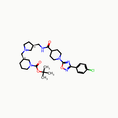 CC(C)(C)OC(=O)N1CCC[C@@H](CN2CC[C@@H](CNC(=O)C3CCN(c4nc(-c5ccc(Cl)cc5)no4)CC3)C2)C1